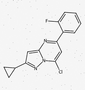 Fc1ccccc1-c1cc(Cl)n2nc(C3CC3)cc2n1